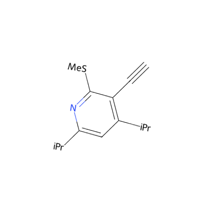 C#Cc1c(C(C)C)cc(C(C)C)nc1SC